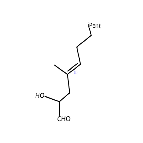 CCCC(C)CC/C=C(\C)CC(O)C=O